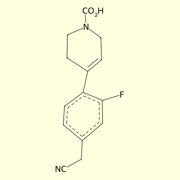 N#CCc1ccc(C2=CCN(C(=O)O)CC2)c(F)c1